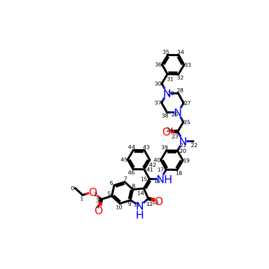 CCOC(=O)c1ccc2c(c1)NC(=O)/C2=C(\Nc1ccc(N(C)C(=O)CN2CCN(Cc3ccccc3)CC2)cc1)c1ccccc1